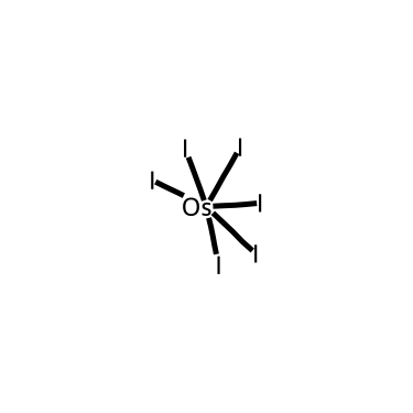 [I][Os]([I])([I])([I])([I])[I]